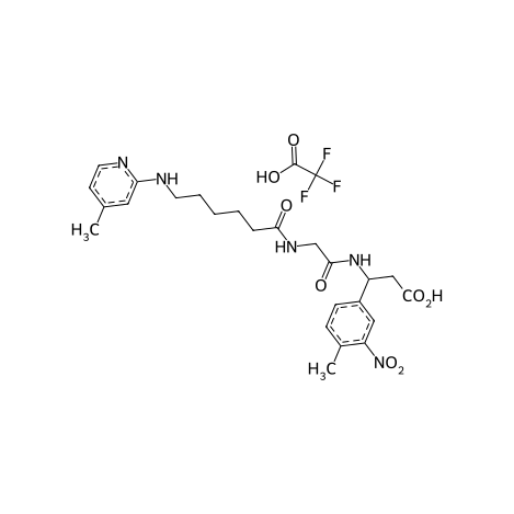 Cc1ccnc(NCCCCCC(=O)NCC(=O)NC(CC(=O)O)c2ccc(C)c([N+](=O)[O-])c2)c1.O=C(O)C(F)(F)F